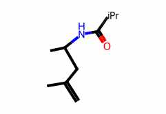 C=C(C)CC(C)NC(=O)C(C)C